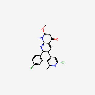 COc1cc(=O)c2cc(-c3cc(C)nc(Cl)c3)c(-c3ccc(F)cc3)nc2[nH]1